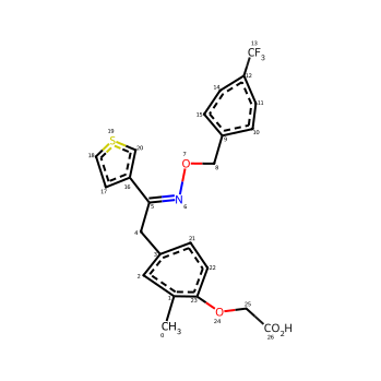 Cc1cc(CC(=NOCc2ccc(C(F)(F)F)cc2)c2ccsc2)ccc1OCC(=O)O